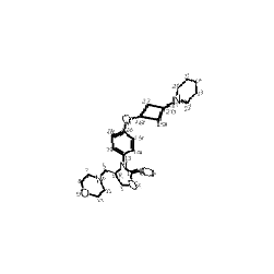 O=C1OC[C@@H](CN2CCOCC2)N1c1ccc(OC2CC(N3CCCCC3)C2)cc1